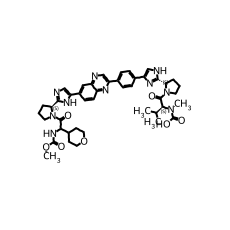 COC(=O)NC(C(=O)N1CCC[C@H]1c1ncc(-c2ccc3nc(-c4ccc(-c5c[nH]c([C@@H]6CCCN6C(=O)[C@H](C(C)C)N(C)C(=O)O)n5)cc4)cnc3c2)[nH]1)C1CCOCC1